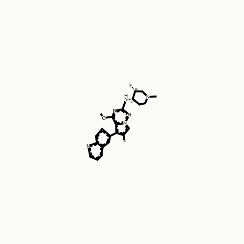 COc1nc(N[C@H]2CCN(C)C[C@H]2F)nn2cc(F)c(-c3ccc4ncccc4c3)c12